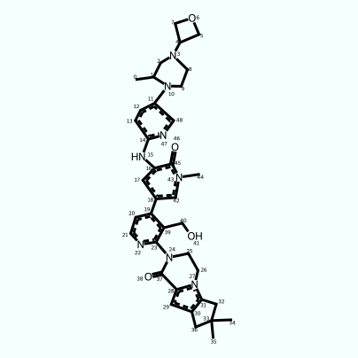 CC1CN(C2COC2)CCN1c1ccc(Nc2cc(-c3ccnc(N4CCn5c(cc6c5CC(C)(C)C6)C4=O)c3CO)cn(C)c2=O)nc1